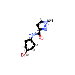 CCn1ccc(C(=O)Nc2ccc(Br)cc2)n1